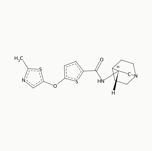 Cc1ncc(Oc2ccc(C(=O)N[C@H]3CN4CCC3CC4)s2)s1